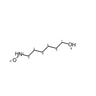 [O]NCCCCCCO